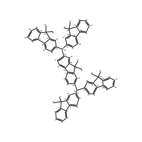 CC1(C)c2ccccc2-c2ccc(C(c3ccc4c(c3)C(C)(C)c3ccccc3-4)c3ccc4c(c3)C(C)(C)c3cc(N(c5ccc6c(c5)C(C)(C)c5ccccc5-6)c5ccc6c(c5)C(C)(C)c5ccccc5-6)ccc3-4)cc21